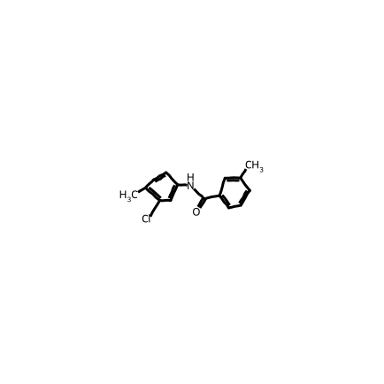 Cc1cccc(C(=O)Nc2ccc(C)c(Cl)c2)c1